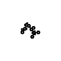 c1ccc(-c2nc(-c3ccccc3)nc(-c3ccc(-c4ccc5ncnc(-c6cc7oc8ccccc8c7cn6)c5c4)c4ccccc34)n2)cc1